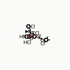 Cc1cc(Cl)c(OCCOc2ccc(C3=C(C(=O)N(Cc4ccccc4Cl)C4CC4)C4CNCC(C3)N4C(=O)OC(C)(C)C(Cl)(Cl)Cl)cc2)cc1C.Cl